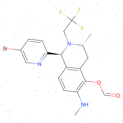 CNc1ccc2c(c1OC=O)C[C@@H](C)N(CC(F)(F)F)[C@@H]2c1ccc(Br)cn1